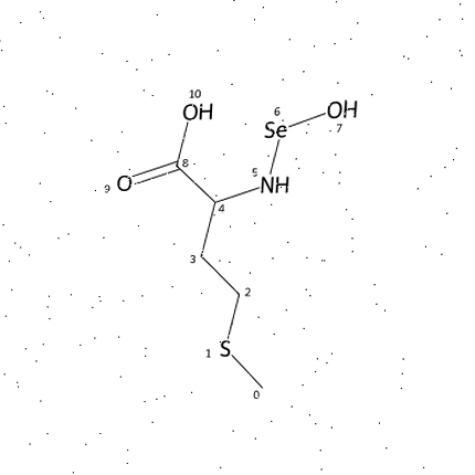 CSCCC(N[Se]O)C(=O)O